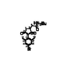 CCC(C)NC(=O)CC1CC(=O)C(c2c(C)cc(Br)cc2C)C1=O